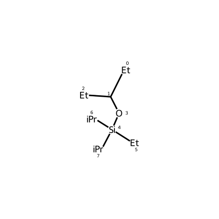 CCC(CC)O[Si](CC)(C(C)C)C(C)C